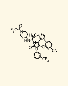 Cc1c(-c2n(-c3ccc(C#N)cc3)cc[n+]2C)n(C(=O)NC2CCN(C(=O)C(F)(F)F)CC2)c(=O)n1-c1cccc(C(F)(F)F)c1